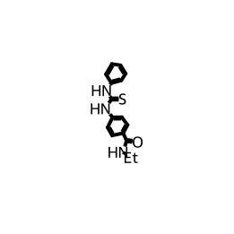 CCNC(=O)c1ccc(NC(=S)Nc2ccccc2)cc1